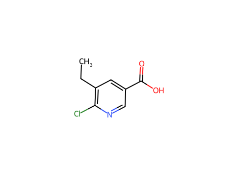 CCc1cc(C(=O)O)cnc1Cl